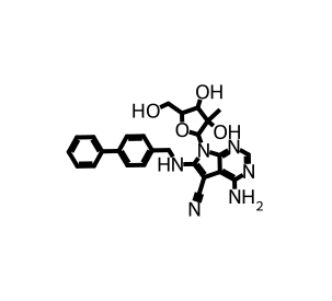 CC1(O)C(O)C(CO)OC1n1c(NCc2ccc(-c3ccccc3)cc2)c(C#N)c2c(N)ncnc21